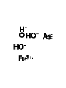 [As].[Fe+3].[OH-].[OH-].[OH-]